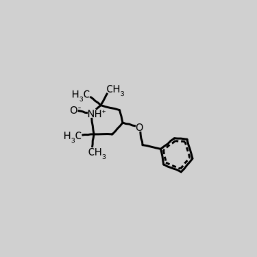 CC1(C)CC(OCc2ccccc2)CC(C)(C)[NH+]1[O-]